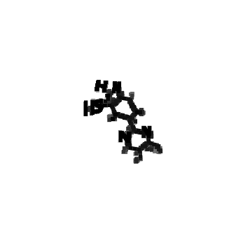 Cc1cnc(-c2ccc(N)c(S)c2)nc1C